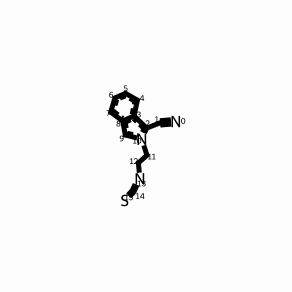 N#Cc1c2ccccc2cn1CCN=C=S